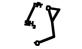 CCC[SiH3].[O]CC1CO1